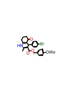 COc1ccc(COC(=O)C2=C(C)NC3=C(C(=O)CCC3)C2c2ccc(Br)cc2)cc1